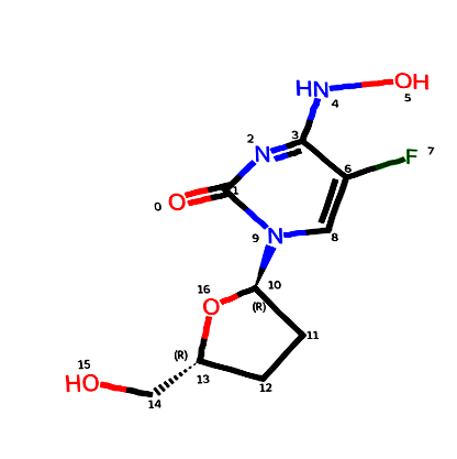 O=c1nc(NO)c(F)cn1[C@H]1CC[C@H](CO)O1